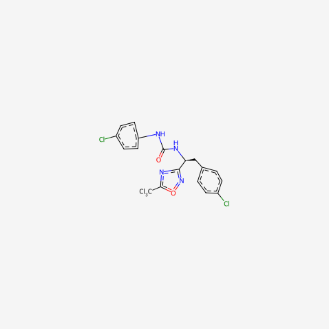 O=C(Nc1ccc(Cl)cc1)N[C@@H](Cc1ccc(Cl)cc1)c1noc(C(Cl)(Cl)Cl)n1